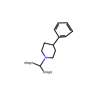 CCCCCCCC(CCCCCCC)N1CCC(c2ccccc2)CC1